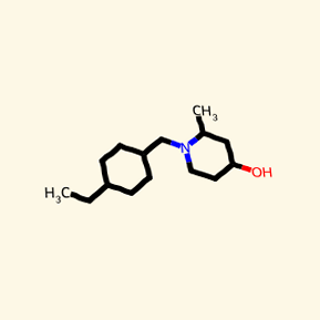 CCC1CCC(CN2CCC(O)CC2C)CC1